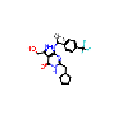 CC(c1ccc(C(F)(F)F)cc1)n1nc(CO)c2c(=O)[nH]c(CC3CCCC3)nc21